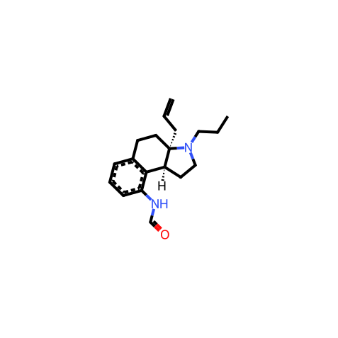 C=CC[C@@]12CCc3cccc(NC=O)c3[C@@H]1CCN2CCC